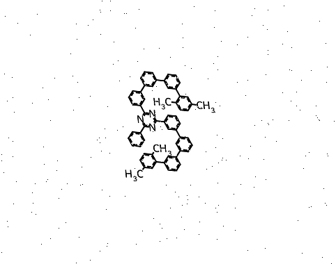 Cc1ccc(C)c(-c2cccc(-c3cccc(-c4cccc(-c5nc(-c6ccccc6)nc(-c6cccc(-c7cccc(-c8cccc(-c9cc(C)ccc9C)c8)c7)c6)n5)c4)c3)c2)c1